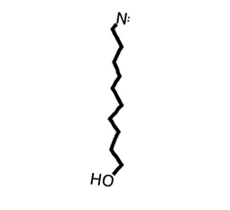 [N]CCCCCCCCCCO